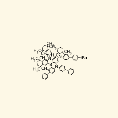 CC(C)(C)c1ccc(-c2ccc3c(c2)C2(C)CCCCC2(C)N3c2cc3c4c(c2)N(c2ccc5c(c2)C(C)(C)CCC5(C)C)c2cc5c(cc2B4c2cc(-c4ccccc4)ccc2N3c2ccc(-c3ccccc3)cc2)C(C)(C)CCC5(C)C)cc1